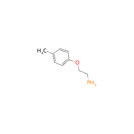 Cc1ccc(OCCP)cc1